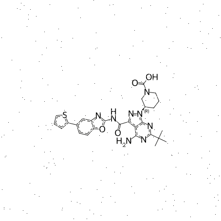 CC(C)(C)c1nc(N)c2c(C(=O)Nc3nc4cc(-c5cccs5)ccc4o3)nn([C@@H]3CCCN(C(=O)O)C3)c2n1